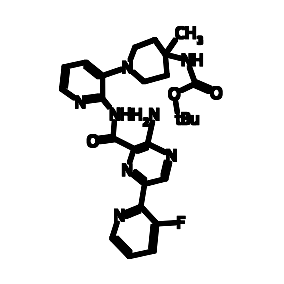 CC1(NC(=O)OC(C)(C)C)CCN(c2cccnc2NC(=O)c2nc(-c3ncccc3F)cnc2N)CC1